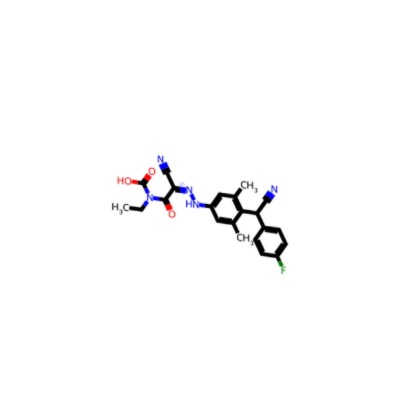 CCN(C(=O)O)C(=O)/C(C#N)=N\Nc1cc(C)c(C(C#N)c2ccc(F)cc2)c(C)c1